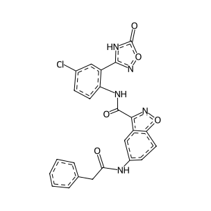 O=C(Cc1ccccc1)Nc1ccc2onc(C(=O)Nc3ccc(Cl)cc3-c3noc(=O)[nH]3)c2c1